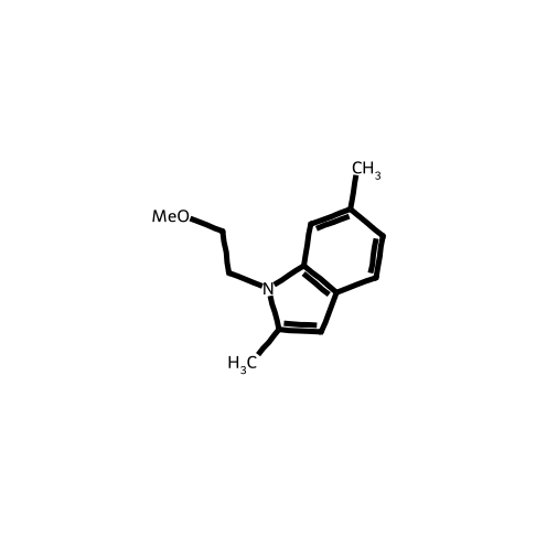 COCCn1c(C)cc2ccc(C)cc21